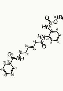 CC(C)(C)OC(=O)Nc1ccccc1NC(=O)CC=CCCNC(=O)c1ccccc1